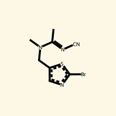 CC(=NC#N)N(C)Cc1cnc(Br)s1